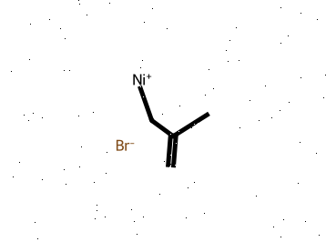 C=C(C)[CH2][Ni+].[Br-]